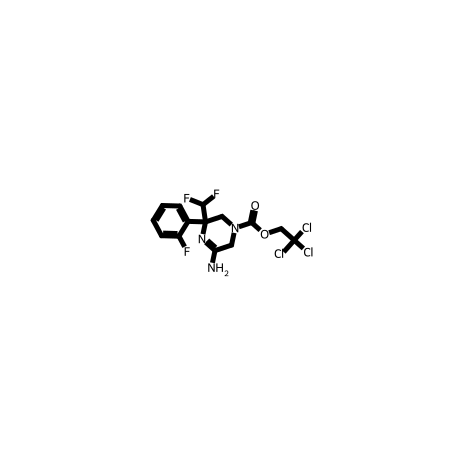 NC1=NC(c2ccccc2F)(C(F)F)CN(C(=O)OCC(Cl)(Cl)Cl)C1